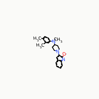 Cc1ccc(N(C)C2CCN(c3cc4ccccc4nc3[O])CC2)cc1C